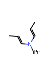 CC=CN(C=CC)[C](C)C